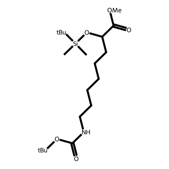 COC(=O)C(CCCCCCNC(=O)OC(C)(C)C)O[Si](C)(C)C(C)(C)C